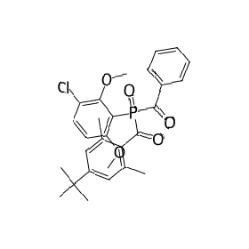 COc1ccc(Cl)c(OC)c1P(=O)(C(=O)c1ccccc1)C(=O)c1c(C)cc(C(C)(C)C)cc1C